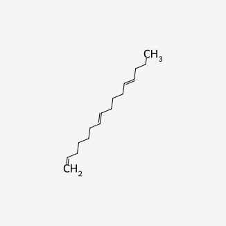 C=CCCCCC=CCCCC=CCCC